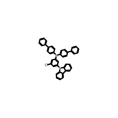 Clc1cc(N(c2ccc(-c3ccccc3)cc2)c2ccc(-c3ccccc3)cc2)cc(-n2c3ccccc3c3ccccc32)c1